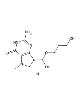 CN1CN(C(O)OCCCO)c2nc(N)[nH]c(=O)c21.I